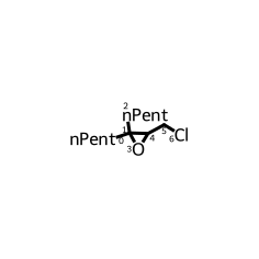 CCCCCC1(CCCCC)OC1CCl